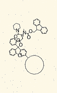 CN(C(=O)OCC1c2ccccc2-c2ccccc21)[C@@H](CC(=O)OC(c1ccccc1)(c1ccc(C2CCCCCCCCCCCCCCC2)cc1)c1ccccc1Cl)C(=O)N1CCCCC1